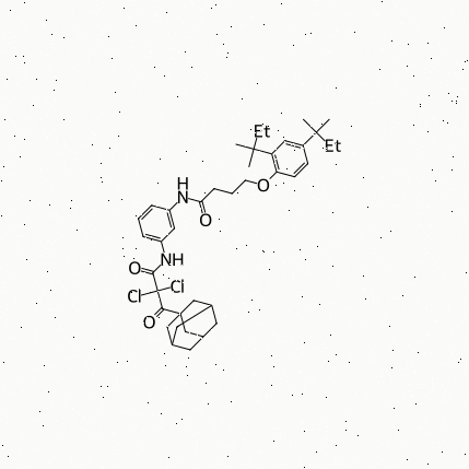 CCC(C)(C)c1ccc(OCCCC(=O)Nc2cccc(NC(=O)C(Cl)(Cl)C(=O)C34CC5CC(CC(C5)C3)C4)c2)c(C(C)(C)CC)c1